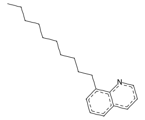 CCCCCCCCCCc1cccc2cccnc12